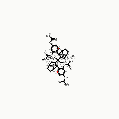 CCCC(=O)Oc1ccc(C[N+]2(C)[C@@H]3CC[C@H]2CC(C(CC(=O)O)(C(=O)O)C2C[C@H]4CC[C@@H](C2)[N+]4(C)Cc2ccc(OC(=O)CCC)cc2OC(=O)CCC)C3)c(OC(=O)CCC)c1.[Br-].[Br-]